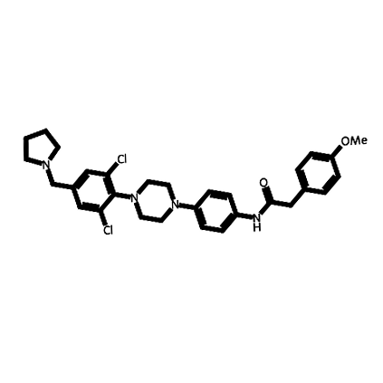 COc1ccc(CC(=O)Nc2ccc(N3CCN(c4c(Cl)cc(CN5CCCC5)cc4Cl)CC3)cc2)cc1